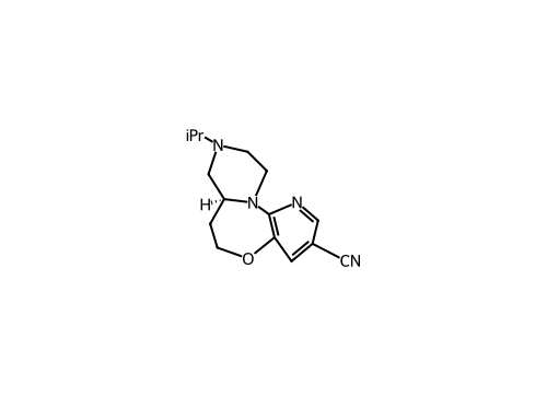 CC(C)N1CCN2c3ncc(C#N)cc3OCC[C@H]2C1